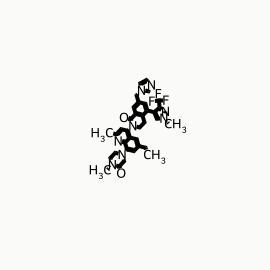 CCc1cc(N2CCN(C)C(=O)C2)c2nc(C)cc(N3CCc4c(cc(Cn5ccnc5)cc4-c4cn(C)nc4C(F)(F)F)C3=O)c2c1